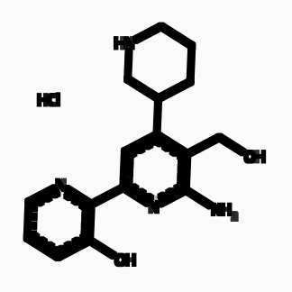 Cl.Nc1nc(-c2ncccc2O)cc(C2CCCNC2)c1CO